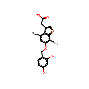 Cc1c(OCc2ccc(O)cc2O)cc(C)c2c(CC(=O)O)csc12